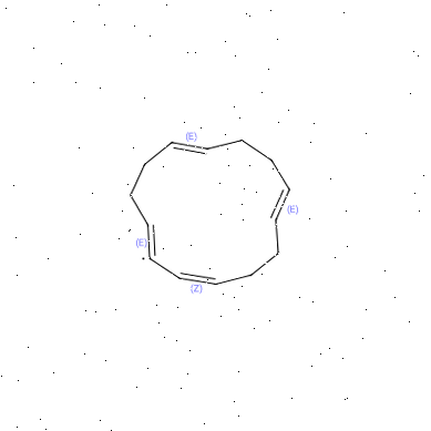 [C]1=C/CC/C=C/CC/C=C/CC\C=C/1